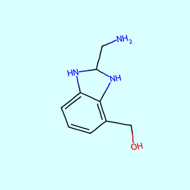 NCC1Nc2cccc(CO)c2N1